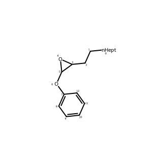 CCCCCCCCCC1OC1Oc1ccccc1